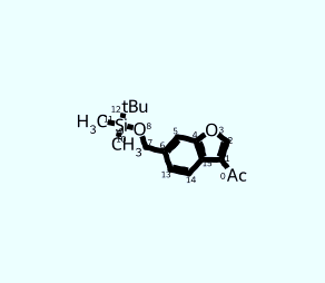 CC(=O)c1coc2cc(CO[Si](C)(C)C(C)(C)C)ccc12